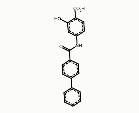 O=C(Nc1ccc(C(=O)O)c(O)c1)c1ccc(-c2ccccc2)cc1